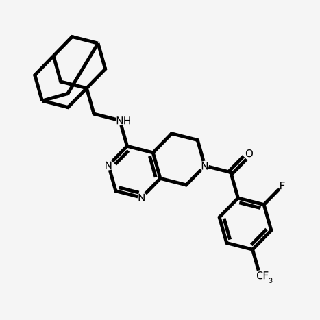 O=C(c1ccc(C(F)(F)F)cc1F)N1CCc2c(ncnc2NCC23CC4CC(CC(C4)C2)C3)C1